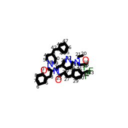 O=C(C(Cc1ccccc1)N(Cc1ccc(N2CCOCC2)nc1)C(=O)C=Cc1ccc(C(F)(F)F)cc1)N1CCC(Cc2ccccc2)CC1